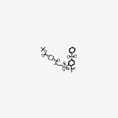 CN(CCNS(=O)(=O)c1cc(S(=O)(=O)c2ccccc2)ccc1C(F)(F)F)C(=O)N1CCN(C(=O)OC(C)(C)C)CC1